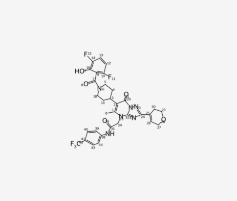 Cc1c(C2CCN(C(=O)c3c(F)ccc(F)c3O)CC2)c(=O)n2nc(C3=CCOCC3)nc2n1CC(=O)Nc1ccc(C(F)(F)F)cc1